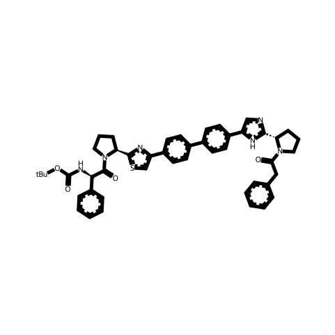 CC(C)(C)OC(=O)N[C@@H](C(=O)N1CCC[C@H]1c1nc(-c2ccc(-c3ccc(-c4cnc([C@@H]5CCCN5C(=O)Cc5ccccc5)[nH]4)cc3)cc2)cs1)c1ccccc1